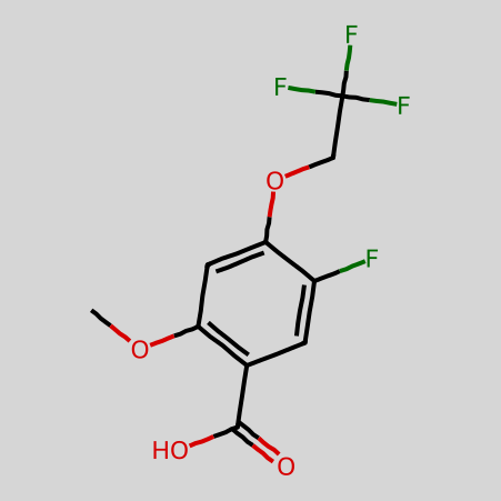 COc1cc(OCC(F)(F)F)c(F)cc1C(=O)O